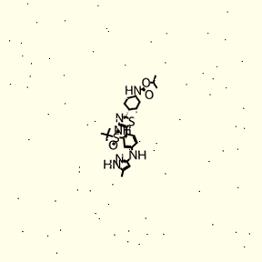 Cc1cc(Nc2ccc(-c3cnc([C@H]4CC[C@H](NC(=O)OC(C)C)CC4)s3)c(S(=N)(=O)C(C)(C)C)c2)n[nH]1